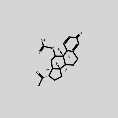 CC(=O)[C@H]1CC[C@H]2[C@@H]3CCC4=CC(=O)C=C[C@]4(C)[C@H]3C(OC(=S)S)C[C@]12C